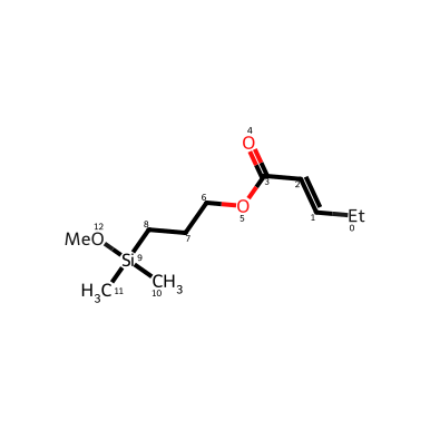 CCC=CC(=O)OCCC[Si](C)(C)OC